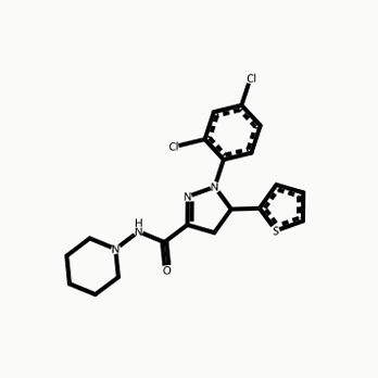 O=C(NN1CCCCC1)C1=NN(c2ccc(Cl)cc2Cl)C(c2cccs2)C1